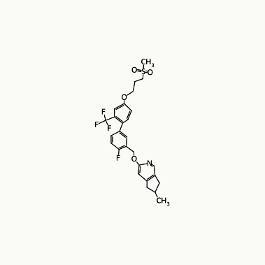 CC1Cc2cnc(OCc3cc(-c4ccc(OCCCS(C)(=O)=O)cc4C(F)(F)F)ccc3F)cc2C1